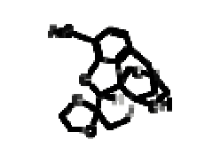 CC(=O)Oc1ccc2c3c1O[C@H]1C4(CC[C@]56OCN(CC[C@]315)[C@@H]6C2)OCCO4